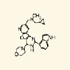 CN(Cc1cnc2oc3c(c2c1)N=C(c1cccc2[nH]ccc12)NC3N1CCOCC1)CC1CC1